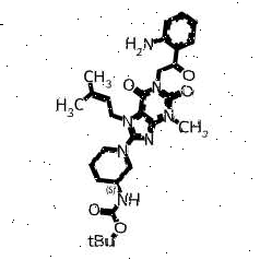 CC(C)=CCn1c(N2CCC[C@H](NC(=O)OC(C)(C)C)C2)nc2c1c(=O)n(CC(=O)c1ccccc1N)c(=O)n2C